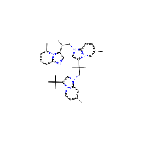 Cc1ccn2c(C(C)(C)C)c[n+](CC(C)(C)c3c[n+](CC(C)c4cnc5cccc(C)n45)c4ccc(C)cn34)c2c1